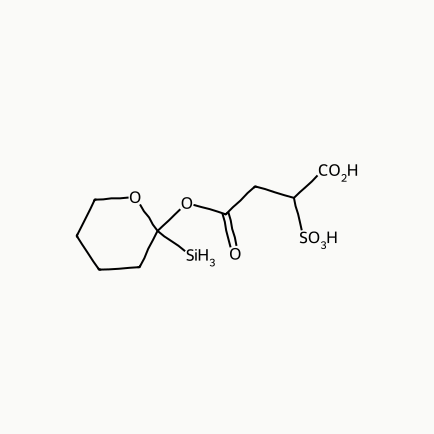 O=C(CC(C(=O)O)S(=O)(=O)O)OC1([SiH3])CCCCO1